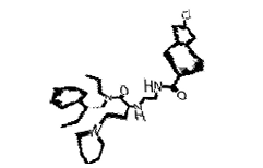 CCCN(C[C@H](CC)c1ccccc1)C(=O)[C@H](CCN1CCCCC1)NCCNC(=O)c1ccc2cc(Cl)ccc2c1